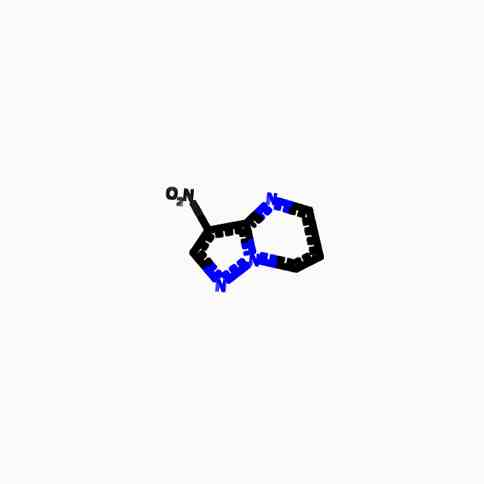 O=[N+]([O-])c1cnn2cccnc12